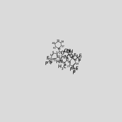 COC(c1ccc(C(F)(F)F)cc1CNC(C)C(NC(=O)O)c1cc(C(F)(F)F)cc(C(F)(F)F)c1)C1CCCCC1